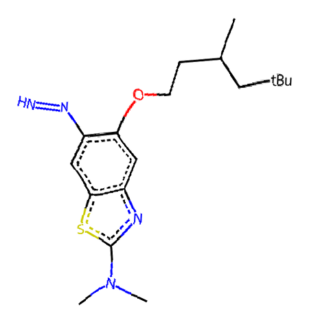 CC(CCOc1cc2nc(N(C)C)sc2cc1N=N)CC(C)(C)C